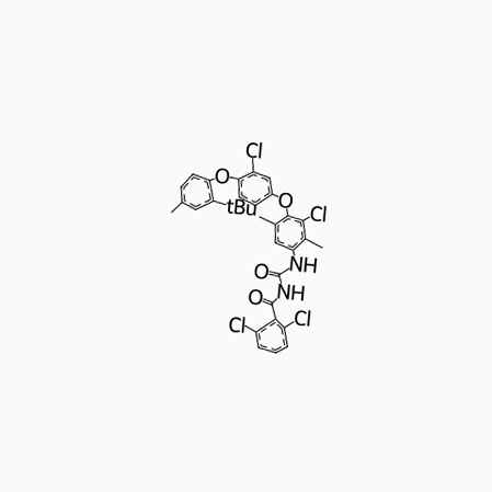 Cc1ccc(Oc2ccc(Oc3c(C)cc(NC(=O)NC(=O)c4c(Cl)cccc4Cl)c(C)c3Cl)cc2Cl)c(C(C)(C)C)c1